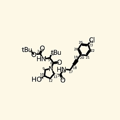 CC(C)(C)OC(=O)NC(C(=O)N1C[C@H](O)C[C@H]1C(=O)NCC#Cc1ccc(Cl)cc1)C(C)(C)C